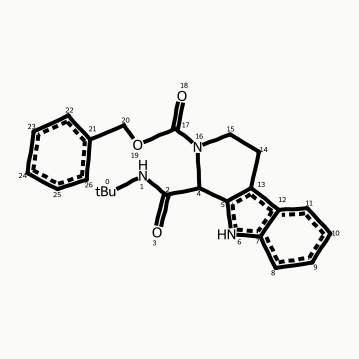 CC(C)(C)NC(=O)C1c2[nH]c3ccccc3c2CCN1C(=O)OCc1ccccc1